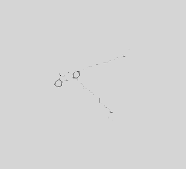 CC(C)(C)OC(=O)CCOCCOCCOCCOc1cc(CN2C(=O)c3ccccc3C2=O)cc(OCCOCCOCCOCCC(=O)OC(C)(C)C)c1